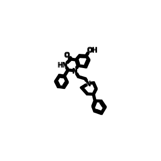 O=C1NC(c2ccccc2)N(CCN2CCC(c3ccccc3)CC2)c2ccc(O)cc21